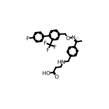 C/C(=N/OCc1ccc(-c2ccc(F)cc2)c(C(F)(F)F)c1)c1ccc(CNCCC(=O)O)cc1